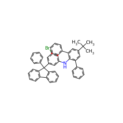 CC(C)(C)c1cc(-c2ccccc2)c(Nc2cc(Br)cc(C3(c4ccccc4)c4ccccc4-c4ccccc43)c2)c(-c2ccccc2)c1